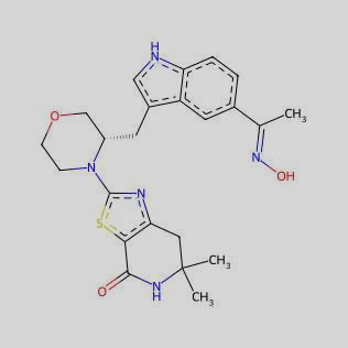 CC(=NO)c1ccc2[nH]cc(C[C@H]3COCCN3c3nc4c(s3)C(=O)NC(C)(C)C4)c2c1